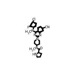 CN(c1ccc(Cl)cc1F)c1nc(N2CCC(N(C)C(=O)C3CCCN3)CC2)nc2cc(C#N)ccc12